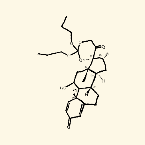 CCCOC1(OCCC)OCC(=O)[C@@]2(O1)[C@H](C)C[C@H]1[C@@H]3CCC4=CC(=O)C=C[C@]4(C)[C@@]3(Cl)C(O)C[C@@]12C